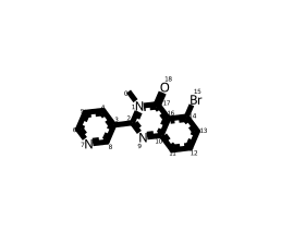 Cn1c(-c2cccnc2)nc2cccc(Br)c2c1=O